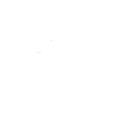 COCC(c1ccccc1)C(OC)C(C)C